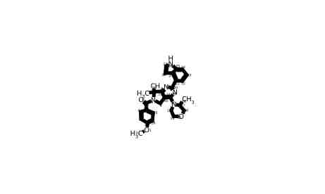 COc1ccc(C(=O)N2Cc3c(N4CCOCC4C)nc(-c4cccc5[nH]ccc45)nc3C2(C)C)cc1